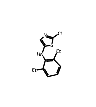 CCc1cccc(CC)c1Nc1cnc(Cl)s1